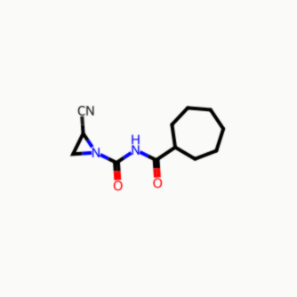 N#CC1CN1C(=O)NC(=O)C1CCCCCC1